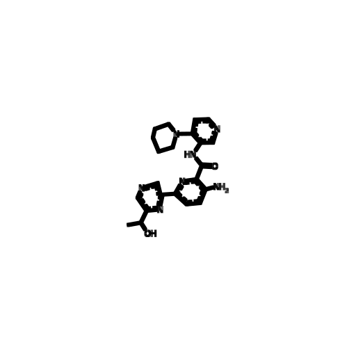 CC(O)c1cncc(-c2ccc(N)c(C(=O)Nc3cnccc3N3CCCCC3)n2)n1